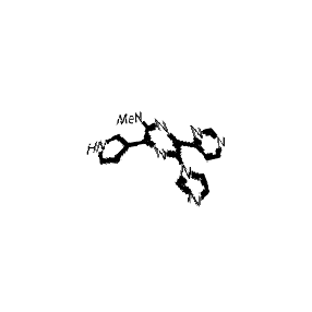 CNc1nc(-c2ccncn2)c(-n2ccnc2)nc1C1CCNC1